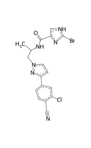 CC(Cn1ccc(-c2ccc(C#N)c(Cl)c2)n1)NC(=O)c1c[nH]c(Br)n1